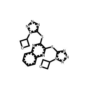 c1ccc2nc(Sc3nnnn3C3COC3)c(Sc3nnnn3C3COC3)nc2c1